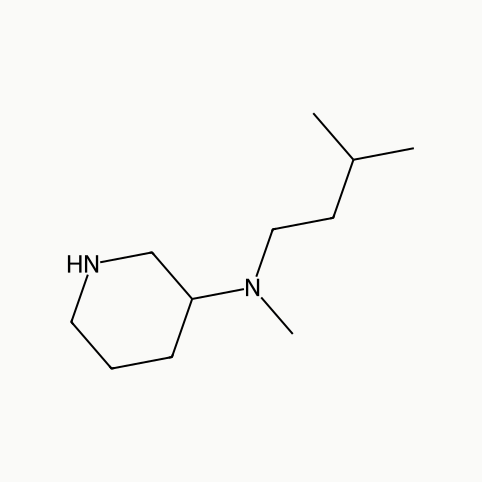 CC(C)CCN(C)C1CCCNC1